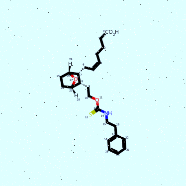 O=C(O)CCC/C=C\C[C@@H]1[C@H](CCOC(=S)NCCc2ccccc2)[C@@H]2CC[C@H]1O2